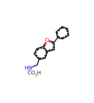 O=C(O)NCc1ccc2oc(-c3ccccc3)cc2c1